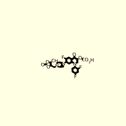 Cc1oc(=O)oc1CN1CC2CC1CN2c1cc2c(cc1F)c(=O)c(OC(=O)O)cn2-c1ccc(F)cc1F